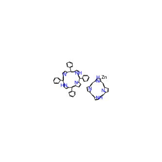 C1=Cc2cc3ccc(cc4nc(cc5ccc(cc1n2)[nH]5)C=C4)[nH]3.C1=Cc2nc1c(-c1ccccc1)c1ccc([nH]1)c(-c1ccccc1)c1nc(c(-c3ccccc3)c3ccc([nH]3)c2-c2ccccc2)C=C1.[Zn]